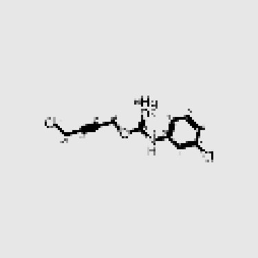 O=C(Nc1cccc(Cl)c1)OCC#CCCl.[Hg]